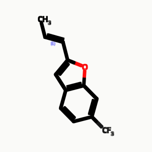 C/C=C/c1cc2ccc(C(F)(F)F)cc2o1